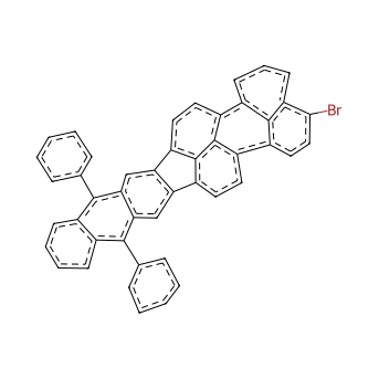 Brc1ccc2c3ccc4c5c(ccc(c6cccc1c62)c53)-c1cc2c(-c3ccccc3)c3ccccc3c(-c3ccccc3)c2cc1-4